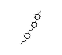 CCC[C@H]1CC[C@H](CCc2ccc(-c3ccc(Cl)nc3)cc2)CC1